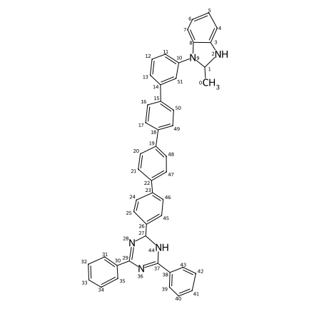 CC1Nc2ccccc2N1c1cccc(-c2ccc(-c3ccc(-c4ccc(C5N=C(c6ccccc6)N=C(c6ccccc6)N5)cc4)cc3)cc2)c1